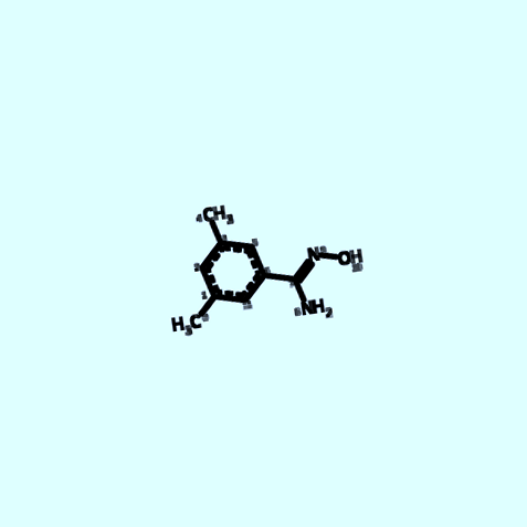 Cc1cc(C)cc(C(N)=NO)c1